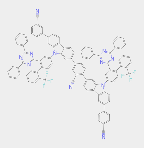 N#Cc1ccc(-c2ccc3c(c2)c2ccc(-c4ccc(-c5ccc6c7ccc(-c8cccc(C#N)c8)cc7n(-c7ccc(-c8ccccc8C(F)(F)F)c(-c8nc(-c9ccccc9)nc(-c9ccccc9)n8)c7)c6c5)cc4C#N)cc2n3-c2ccc(-c3ccccc3C(F)(F)F)c(-c3nc(-c4ccccc4)nc(-c4ccccc4)n3)c2)cc1